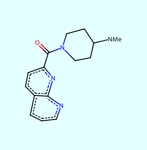 CNC1CCN(C(=O)c2ccc3cccnc3n2)CC1